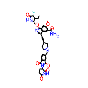 CC[C@@H]1[C@H](F)C(=O)N[C@@H]1COc1ncc(C#CC2CCN(Cc3ccc4c(c3)C(=O)N(C3CCC(=O)NC3=O)C4=O)CC2)c2cc(C(N)=O)c(OC)cc12